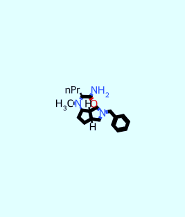 CCC[C@@H](C(N)=O)N(C)[C@@H]1CC[C@H]2CN(Cc3ccccc3)C[C@H]21